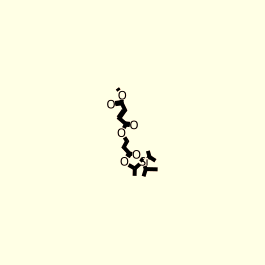 COC(=O)C=CC(=O)OCCC(=O)O[Si](C(C)C)(C(C)C)C(C)C